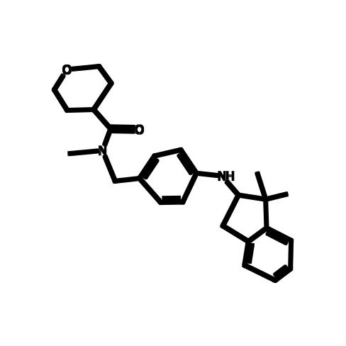 CN(Cc1ccc(NC2Cc3ccccc3C2(C)C)cc1)C(=O)C1CCOCC1